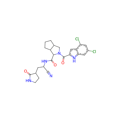 N#CC(CC1CCNC1=O)NC(=O)C1C2CCCC2CN1C(=O)c1cc2c(Cl)cc(Cl)cc2[nH]1